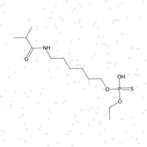 CCOP(O)(=S)OCCCCCCNC(=O)C(C)C